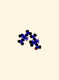 c1ccc(N(c2ccccc2)c2ccc(-c3c4nsnc4c(-c4ccc(N(c5ccccc5)c5cccc(-c6cccc(N(c7ccccc7)c7ccc(-c8c9nsnc9c(-c9ccc(N(c%10ccccc%10)c%10ccccc%10)cc9)c9nc%10c%11ccccc%11c%11ccccc%11c%10nc89)cc7)c6)c5)cc4)c4nc5ccc6ccccc6c5nc34)cc2)cc1